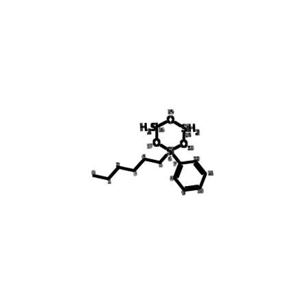 CCCCCC[Si]1(c2ccccc2)O[SiH2]O[SiH2]O1